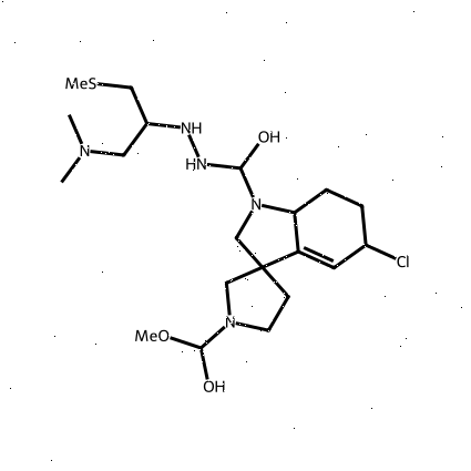 COC(O)N1CCC2(C1)CN(C(O)NNC(CSC)CN(C)C)C1CCC(Cl)C=C12